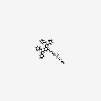 CN(C)CCCCCC(=O)NCCCCOC1=CC(CN(Cc2ccccn2)Cc2ccccn2)CC(CN(Cc2ccccn2)Cc2ccccn2)=C1